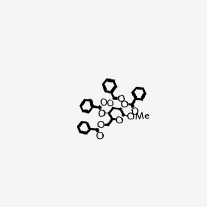 CO[C@H]1OC(COC(=O)c2ccccc2)[C@H](OC(=O)c2ccccc2)[C@H](OC(=O)c2ccccc2)C1OC(=O)c1ccccc1